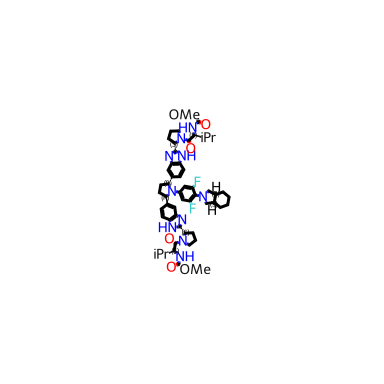 COC(=O)N[C@H](C(=O)N1CCC[C@H]1c1nc2cc([C@H]3CC[C@H](c4ccc5[nH]c([C@@H]6CCCN6C(=O)[C@@H](NC(=O)OC)C(C)C)nc5c4)N3c3cc(F)c(N4C[C@H]5CCCC[C@H]5C4)c(F)c3)ccc2[nH]1)C(C)C